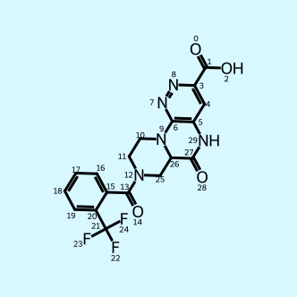 O=C(O)c1cc2c(nn1)N1CCN(C(=O)c3ccccc3C(F)(F)F)CC1C(=O)N2